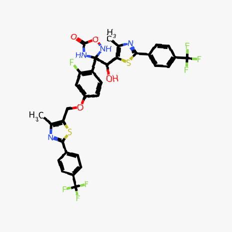 Cc1nc(-c2ccc(C(F)(F)F)cc2)sc1COc1ccc(C2(C(O)c3sc(-c4ccc(C(F)(F)F)cc4)nc3C)NOC(=O)N2)c(F)c1